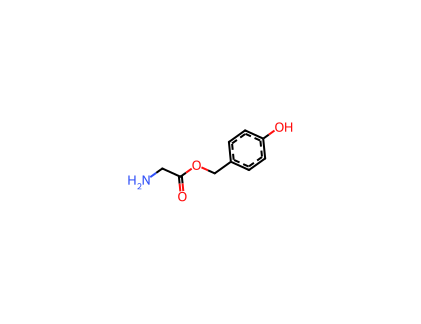 NCC(=O)OCc1ccc(O)cc1